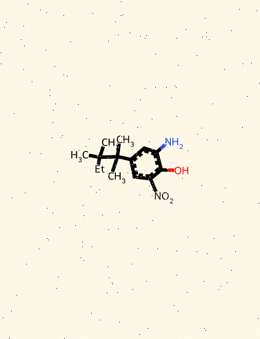 CCC(C)(C)C(C)(C)c1cc(N)c(O)c([N+](=O)[O-])c1